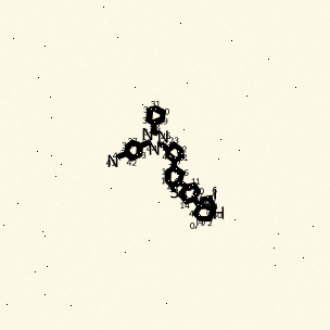 C[C@H]1C[C@H]2C[C@@H](I)CC(c3ccc4c(c3)sc3ccc(-c5cccc(-c6nc(-c7ccccc7)nc(-c7ccc(C#N)cc7)n6)c5)cc34)(C1)C2